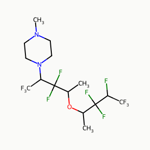 CC(OC(C)C(F)(F)C(N1CCN(C)CC1)C(F)(F)F)C(F)(F)C(F)C(F)(F)F